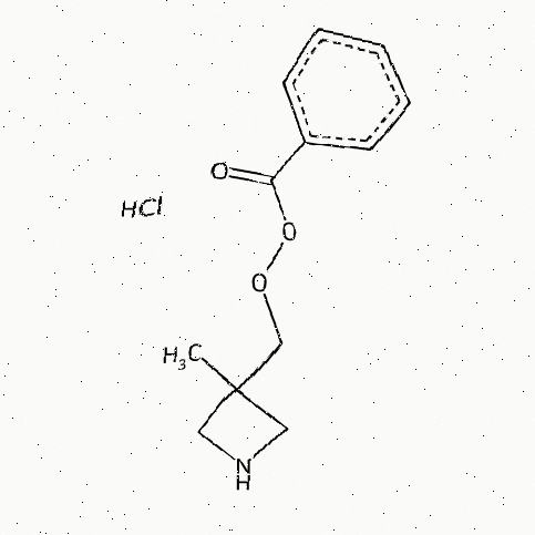 CC1(COOC(=O)c2ccccc2)CNC1.Cl